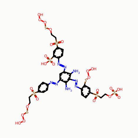 Nc1c(/N=N/c2ccc(S(=O)(=O)CCOSOOO)cc2)cc(/N=N/c2ccc(S(=O)(=O)CCOSOOO)cc2S(=O)(=O)O)c(N)c1/N=N/c1ccc(S(=O)(=O)CCOS(=O)(=O)O)cc1SOOO